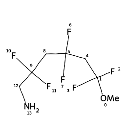 COC(F)(F)CC(F)(F)CC(F)(F)CN